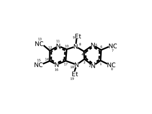 [C-]#[N+]c1nc2c(nc1[N+]#[C-])N(CC)c1nc(C#N)c(C#N)nc1N2CC